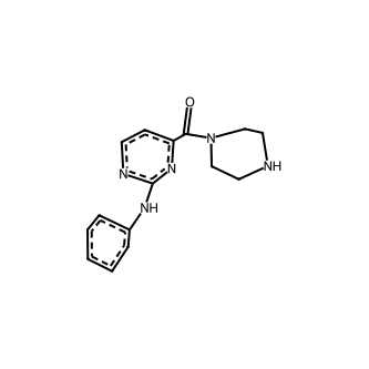 O=C(c1ccnc(Nc2ccccc2)n1)N1CCNCC1